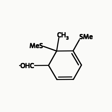 CSC1=CC=CC([C]=O)C1(C)SC